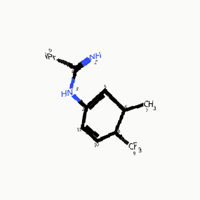 CC(C)C(=N)NC1=CC(C)C(C(F)(F)F)C=C1